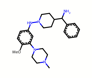 COc1ccc(NN2CCC(C(N)c3ccccc3)CC2)cc1N1CCN(C)CC1